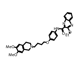 CCOc1nc2ccccc2nc1C(=O)Nc1ccc(OCCCCN2CCc3cc(OC)c(OC)cc3C2)cc1